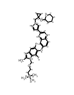 Cc1nc2cc(F)c(Oc3ccc4ncc(-c5cnn(CC6(OC7CCCCO7)CC6)c5)nc4c3)c(F)c2n1COCC[Si](C)(C)C